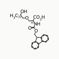 C[C@H](O)COC[C@H](NC(=O)OCC1c2ccccc2-c2ccccc21)C(=O)O